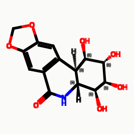 O=C1N[C@H]2[C@H](O)[C@H](O)[C@@H](O)[C@H](O)[C@@H]2c2cc3c(cc21)OCO3